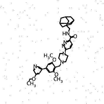 CCOc1cncc(-c2cc(OC)c(CN3CCN(c4ccc(C(=O)NCC56CC7CC(CC(C7)C5)C6)nn4)CC3)c(OC)c2)c1